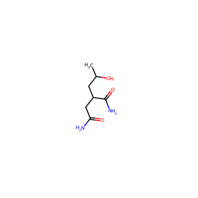 CC(O)CC(CC(N)=O)C(N)=O